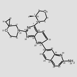 C[C@H]1COCCN1c1nc(N2CCOC3(CC3)C2)nc2nc(-c3ccc4ccc(N)nc4c3)ccc12